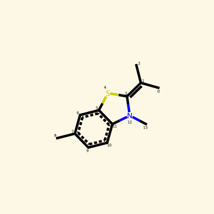 CC(C)=C1Sc2cc(C)ccc2N1C